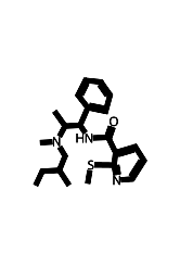 CCC(C)CN(C)C(C)C(NC(=O)c1cccnc1SC)c1ccccc1